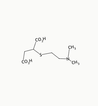 CN(C)CCSC(CC(=O)O)C(=O)O